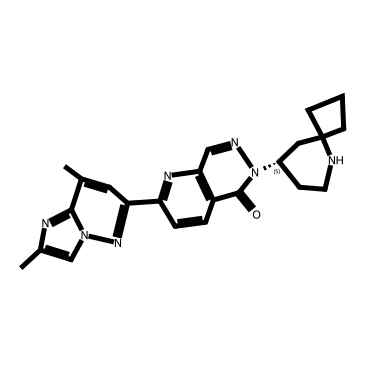 Cc1cn2nc(-c3ccc4c(=O)n([C@H]5CCNC6(CCC6)C5)ncc4n3)cc(C)c2n1